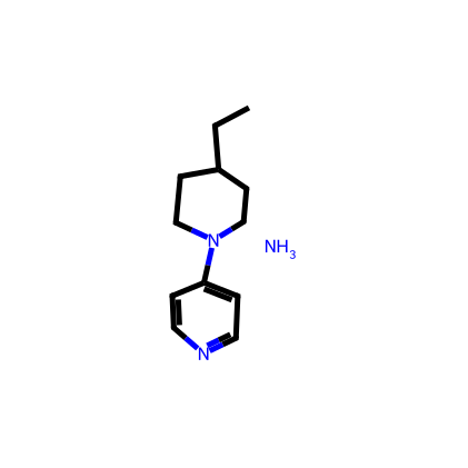 CCC1CCN(c2ccncc2)CC1.N